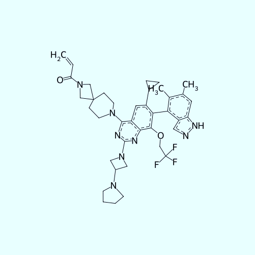 C=CC(=O)N1CC2(CCN(c3nc(N4CC(N5CCCC5)C4)nc4c(OCC(F)(F)F)c(-c5c(C)c(C)cc6[nH]ncc56)c(C5CC5)cc34)CC2)C1